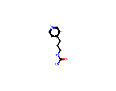 NC(=O)NCCCc1ccncc1